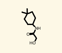 CC1(C)CCC(NC(=O)CO)CC1